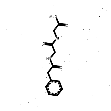 COC(=O)CNC(=O)CNC(=O)Cc1ccccc1